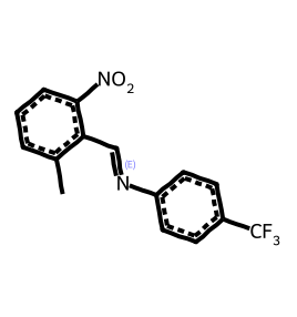 Cc1cccc([N+](=O)[O-])c1/C=N/c1ccc(C(F)(F)F)cc1